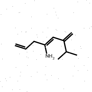 C=CC/C(N)=C/C(=C)C(C)C